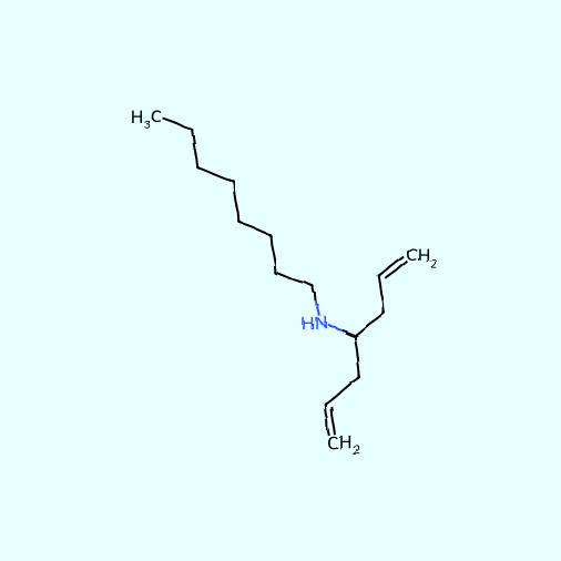 C=CCC(CC=C)NCCCCCCCC